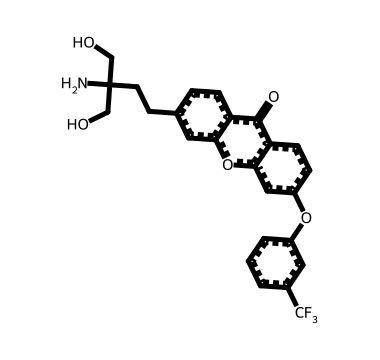 NC(CO)(CO)CCc1ccc2c(=O)c3ccc(Oc4cccc(C(F)(F)F)c4)cc3oc2c1